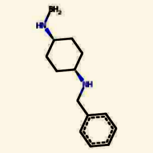 BN[C@H]1CC[C@@H](NCc2ccccc2)CC1